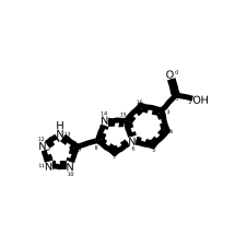 O=C(O)c1ccn2cc(-c3nnn[nH]3)nc2c1